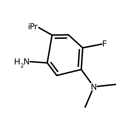 CC(C)c1cc(F)c(N(C)C)cc1N